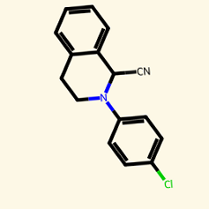 N#CC1c2ccccc2CCN1c1ccc(Cl)cc1